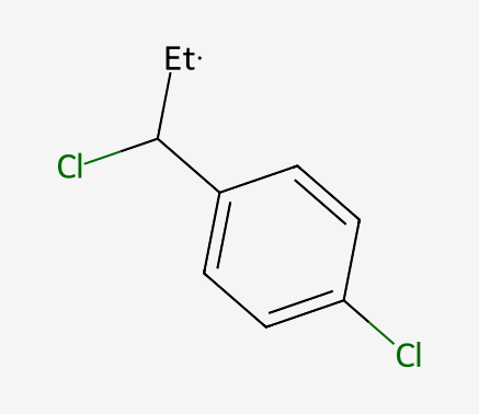 C[CH]C(Cl)c1ccc(Cl)cc1